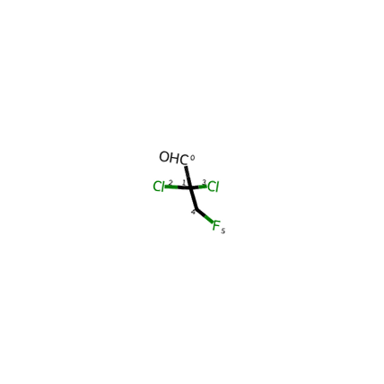 O=CC(Cl)(Cl)CF